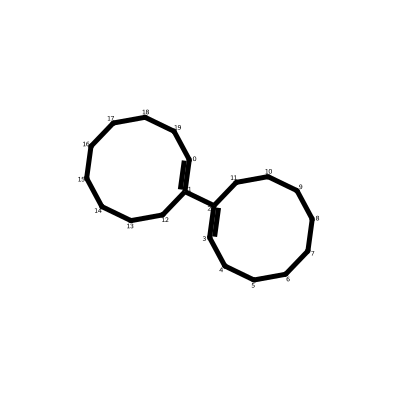 C1=C(C2=CCCCCCCCC2)CCCCCCCC1